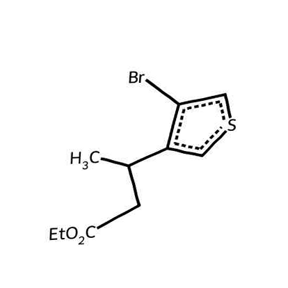 CCOC(=O)CC(C)c1cscc1Br